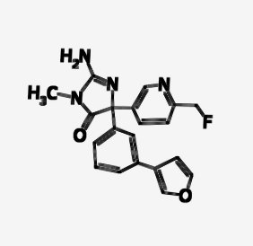 CN1C(=O)C(c2ccc(CF)nc2)(c2cccc(-c3ccoc3)c2)N=C1N